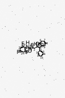 CCCCCCCN(Cc1oc2ccccc2c1-c1ccccc1)C(=O)Nc1c(F)cc(F)cc1F